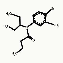 CCCC(=O)N(c1ccc(Br)c(C)c1)C(CC)CC